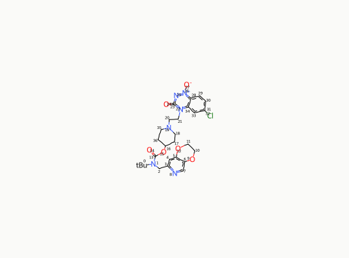 CC(C)(C)N(Cc1cc2c(cn1)OCCO2)C(=O)OC1CCN(CCn2c(=O)n[n+]([O-])c3ccc(Cl)cc32)CC1